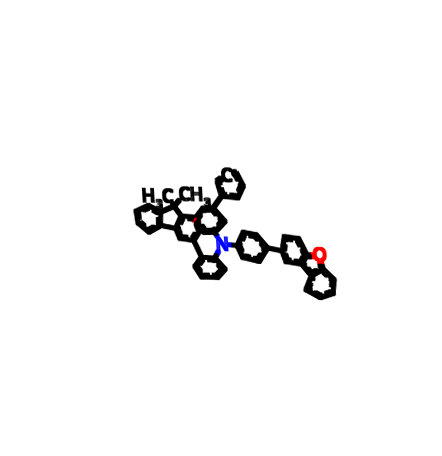 CC1(C)c2ccccc2-c2cc(-c3ccccc3N(c3ccc(-c4ccc5oc6ccccc6c5c4)cc3)c3cccc(-c4ccccc4)c3)ccc21